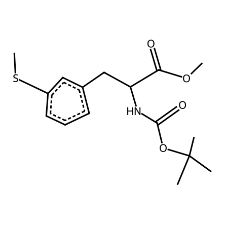 COC(=O)C(Cc1cccc(SC)c1)NC(=O)OC(C)(C)C